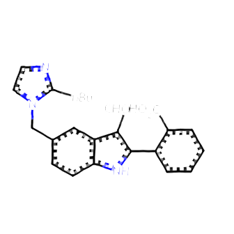 CCCCc1nccn1Cc1ccc2[nH]c(-c3ccccc3C(=O)O)c(C=O)c2c1